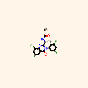 C[C@H](NC(=O)OC(C)(C)C)c1nc2c(Cl)cc(F)cc2c(=O)n1-c1cc(F)cc(F)c1